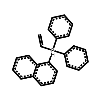 C=C[PH](c1ccccc1)(c1ccccc1)c1cccc2ccccc12